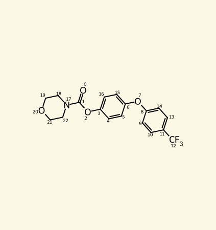 O=C(Oc1ccc(Oc2ccc(C(F)(F)F)cc2)cc1)N1CCOCC1